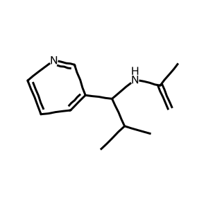 C=C(C)NC(c1cccnc1)C(C)C